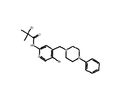 CCC(C)(C)C(=O)Nc1cc(CN2CCN(c3ccccc3)CC2)c(Br)cn1